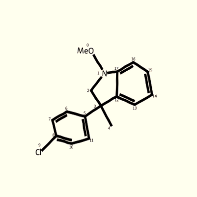 CON1CC(C)(c2ccc(Cl)cc2)c2ccccc21